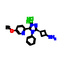 CCOc1ccc(-c2nnc([C@H]3C[C@H](N)C3)n2-c2ccccc2)nc1.Cl.Cl